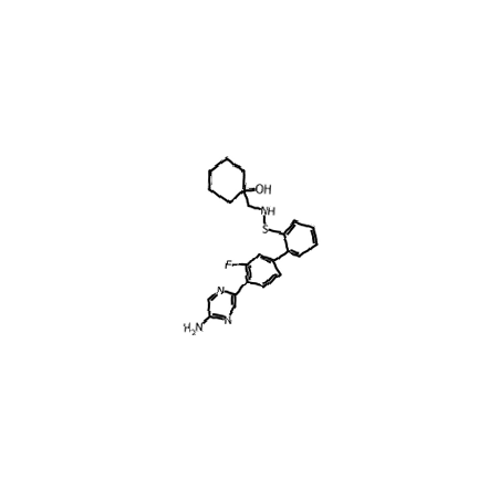 Nc1cnc(-c2ccc(-c3ccccc3SNCC3(O)CCCCC3)cc2F)cn1